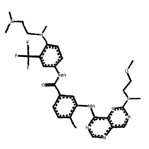 COCCN(C)c1ncc2ncnc(Nc3cc(C(=O)Nc4ccc(N(C)CCN(C)C)c(C(F)(F)F)c4)ccc3C)c2n1